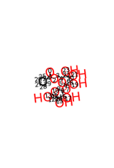 O=C(OCC1OC(OC2CO[C@@H](CO)[C@@H](O)C2O)C(O)C(O)C1O)c1ccccc1